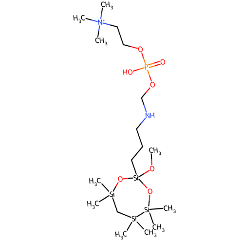 CO[Si]1(CCCNCOP(=O)(O)OCC[N+](C)(C)C)O[Si](C)(C)C[Si](C)(C)[Si](C)(C)O1